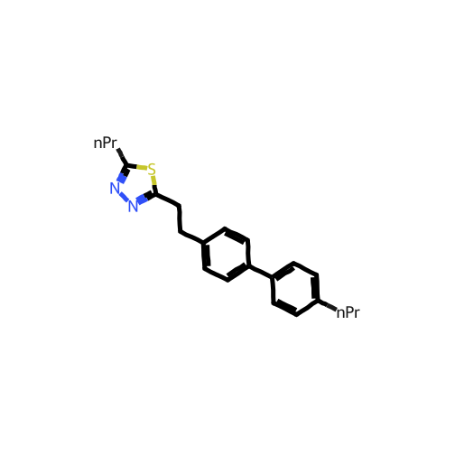 CCCc1ccc(-c2ccc(CCc3nnc(CCC)s3)cc2)cc1